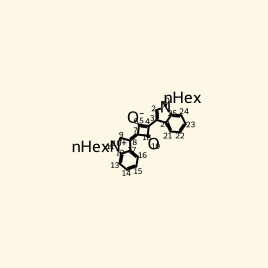 CCCCCCn1cc(C2=C([O-])C(=C3C=[N+](CCCCCC)c4ccccc43)C2=O)c2ccccc21